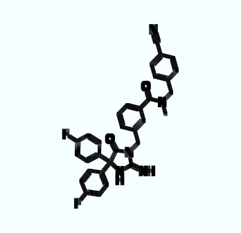 CN(Cc1ccc(C#N)cc1)C(=O)c1cccc(CN2C(=N)NC(c3ccc(F)cc3)(c3ccc(F)cc3)C2=O)c1